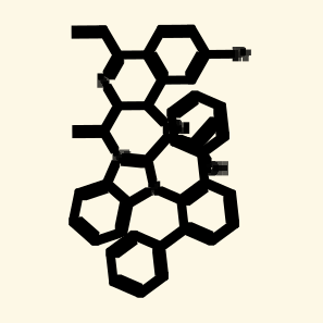 C=CC1=NC(C(=C)[n+]2c(CC(=C)O)n(-c3c(-c4ccccc4)cccc3-c3ccccc3)c3ccccc32)C(CCCC)c2cc(C(C)C)ccc21